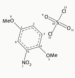 COc1ccc(OC)c([N+](=O)[O-])c1.O=S(=O)(Cl)Cl